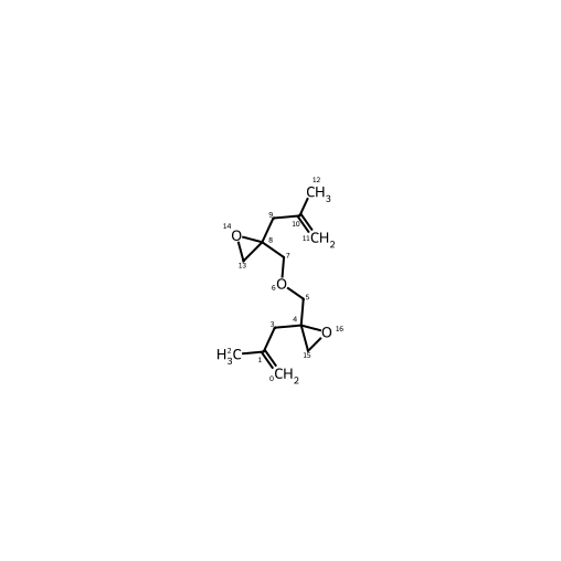 C=C(C)CC1(COCC2(CC(=C)C)CO2)CO1